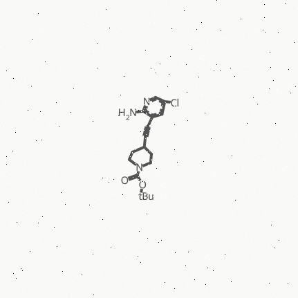 CC(C)(C)OC(=O)N1CCC(C#Cc2cc(Cl)cnc2N)CC1